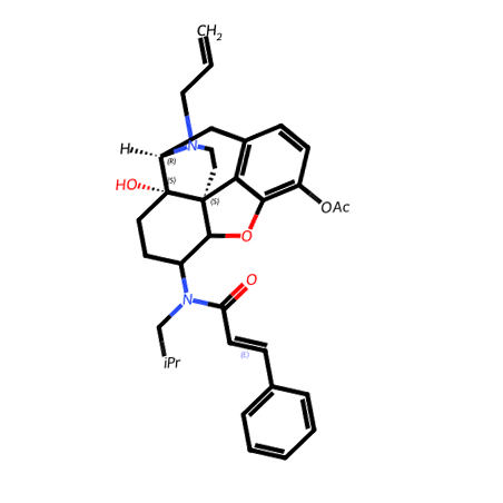 C=CCN1CC[C@]23c4c5ccc(OC(C)=O)c4OC2C(N(CC(C)C)C(=O)/C=C/c2ccccc2)CC[C@@]3(O)[C@H]1C5